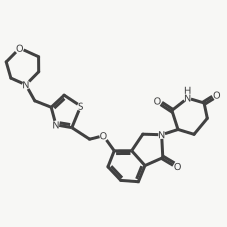 O=C1CCC(N2Cc3c(OCc4nc(CN5CCOCC5)cs4)cccc3C2=O)C(=O)N1